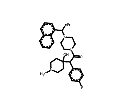 CCCC(c1cccc2ccccc12)N1CCN(C(=O)C(c2ccc(F)cc2)C2(O)CCN(C)CC2)CC1